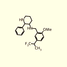 COc1ccc(C(C)C(F)(F)F)cc1CNC1CCCNC1c1ccccc1